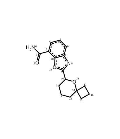 NC(=O)c1cccc2nc(C3CCCC4(CCC4)O3)oc12